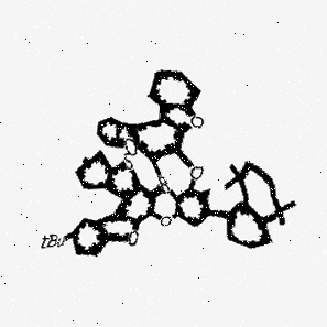 CC(C)(C)c1ccc2oc3c4c(c5sc6ccccc6c5c3c2c1)B1c2c(cc(-c3cccc5c3C(C)(C)CCC5(C)C)cc2O4)Oc2c1c1oc3ccccc3c1c1c2oc2ccccc21